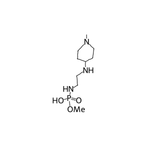 COP(=O)(O)NCCNC1CCN(C)CC1